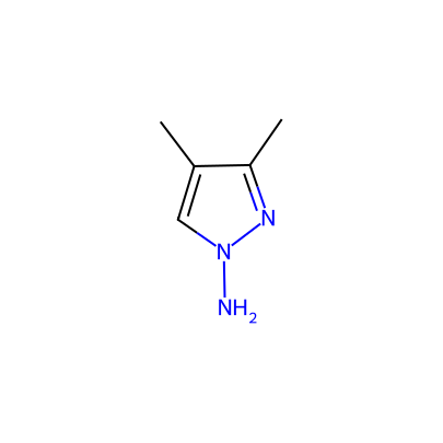 Cc1cn(N)nc1C